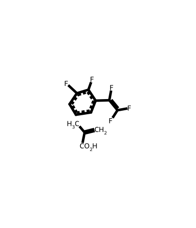 C=C(C)C(=O)O.FC(F)=C(F)c1cccc(F)c1F